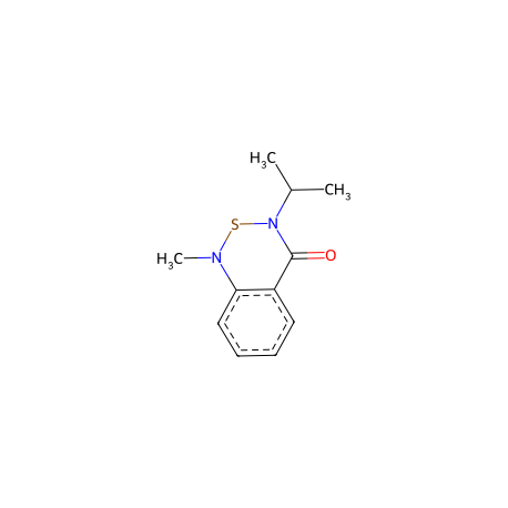 CC(C)N1SN(C)c2ccccc2C1=O